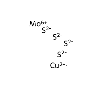 [Cu+2].[Mo+6].[S-2].[S-2].[S-2].[S-2]